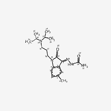 Cc1ccc2c(c1)/C(=N\NC(N)=O)C(=O)N2CCCN(C(C)C)C(C)C